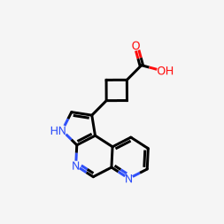 O=C(O)C1CC(c2c[nH]c3ncc4ncccc4c23)C1